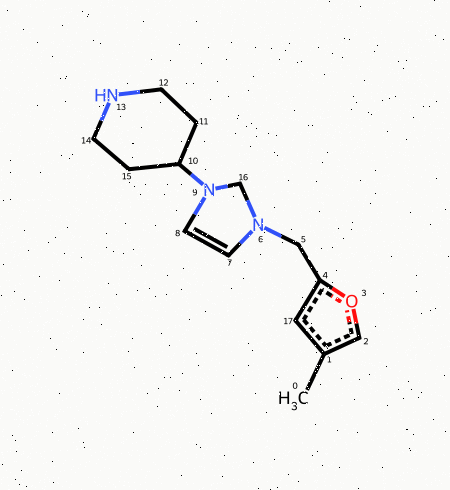 Cc1coc(CN2C=CN(C3CCNCC3)C2)c1